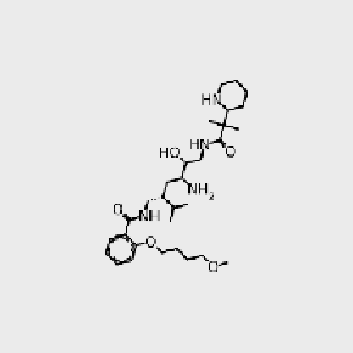 COCCCCOc1ccccc1C(=O)NC[C@H](C[C@H](N)[C@@H](O)CNC(=O)C(C)(C)C1CCCCN1)C(C)C